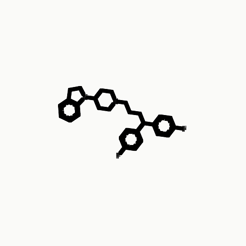 Fc1ccc(C(CCCN2CCC(N3CCc4ccccc43)CC2)c2ccc(F)cc2)cc1